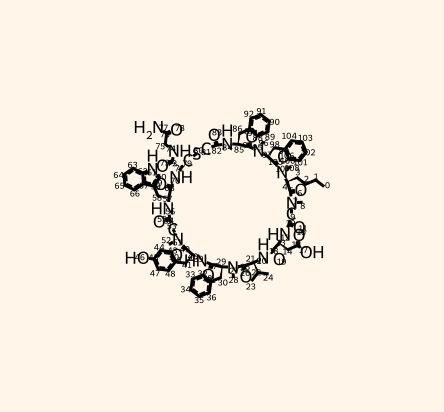 CCCC[C@H]1C(=O)N(C)CC(=O)N[C@@H](CC(=O)O)C(=O)N[C@@H](C(C)C)C(=O)N(C)[C@@H](Cc2ccccc2)C(=O)N[C@@H](Cc2ccc(O)cc2)C(=O)N(C)CC(=O)N[C@@H](Cc2c[nH]c3ccccc23)C(=O)N[C@H](C(=O)NCC(N)=O)CSCC(=O)N[C@@H](Cc2ccccc2)C(=O)N(C)[C@@H](Cc2ccccc2)C(=O)N1C